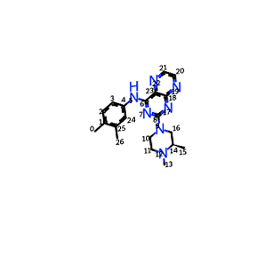 Cc1ccc(Nc2nc(N3CCN(C)[C@H](C)C3)nc3nccnc23)cc1C